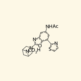 CC(=O)Nc1cc(-c2nccs2)c2oc(N3CC4CC(C3)N4C(=O)O)nc2c1